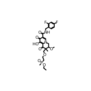 CCOP(C)(=O)CCOCC1(C)C(=O)c2c(O)c(=O)c(C(=O)NCc3ccc(F)cc3F)cn2CC1OC